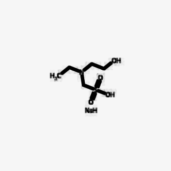 CCN(CCO)CS(=O)(=O)O.[NaH]